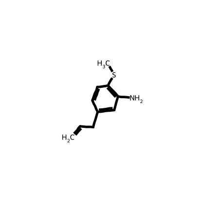 C=CCc1ccc(SC)c(N)c1